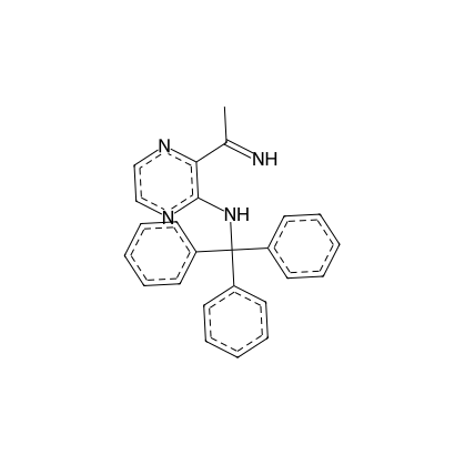 CC(=N)c1nccnc1NC(c1ccccc1)(c1ccccc1)c1ccccc1